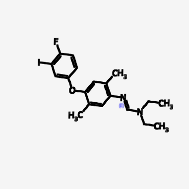 CCN(/C=N/c1cc(C)c(Oc2ccc(F)c(I)c2)cc1C)CC